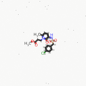 COC(=O)CCn1c(C)ccc(NS(=O)(=O)Cc2ccc(Cl)cc2)c1=O